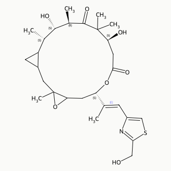 C/C(=C\c1csc(CO)n1)[C@@H]1CC2OC2(C)CC2CC2[C@H](C)[C@H](O)[C@@H](C)C(=O)C(C)(C)[C@@H](O)CC(=O)O1